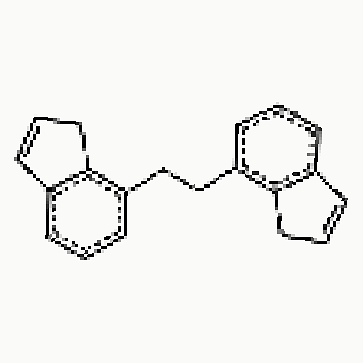 C1=Cc2cccc(CCc3cccc4c3CC=C4)c2C1